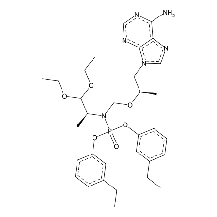 CCOC(OCC)[C@H](C)N(CO[C@H](C)Cn1cnc2c(N)ncnc21)P(=O)(Oc1cccc(CC)c1)Oc1cccc(CC)c1